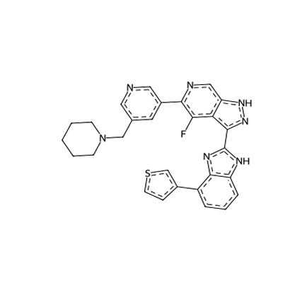 Fc1c(-c2cncc(CN3CCCCC3)c2)ncc2[nH]nc(-c3nc4c(-c5ccsc5)cccc4[nH]3)c12